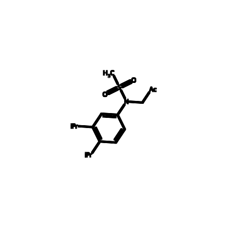 CC(=O)CN(c1ccc(C(C)C)c(C(C)C)c1)S(C)(=O)=O